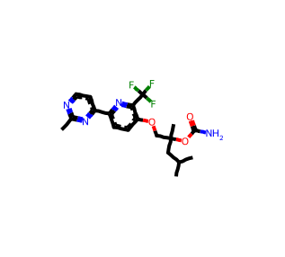 Cc1nccc(-c2ccc(OCC(C)(CC(C)C)OC(N)=O)c(C(F)(F)F)n2)n1